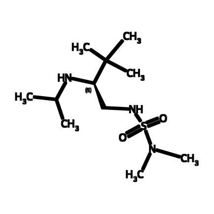 CC(C)N[C@H](CNS(=O)(=O)N(C)C)C(C)(C)C